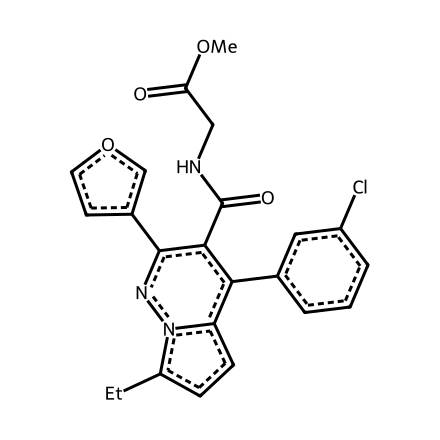 CCc1ccc2c(-c3cccc(Cl)c3)c(C(=O)NCC(=O)OC)c(-c3ccoc3)nn12